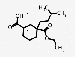 CCOC(=O)C1(CCC(C)C)CCCC(C(=O)O)C1